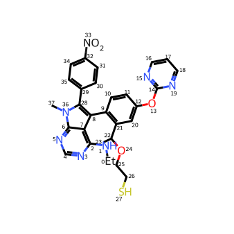 CCNc1ncnc2c1c(-c1ccc(Oc3ncccn3)cc1C(C)OCCS)c(-c1ccc([N+](=O)[O-])cc1)n2C